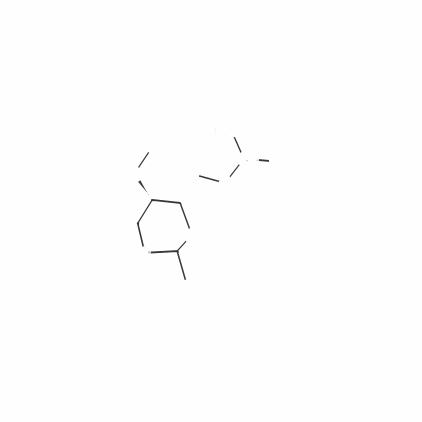 CC1OC[C@@H](OC(C)(C)C)[C@H](CO[SiH](C)C)O1